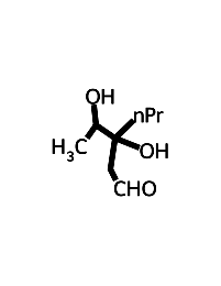 CCCC(O)(CC=O)C(C)O